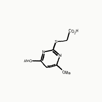 COc1cc(OC)nc(SCC(=O)O)n1